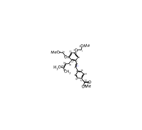 COCOc1cc(/C=C/c2ccc(C(=O)OC)cc2)c(CC=C(C)C)c(OCOC)c1